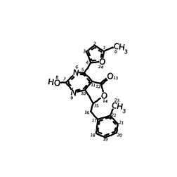 Cc1ccc(-c2nc(O)nc3c2C(=O)OC3Cc2ccccc2C)o1